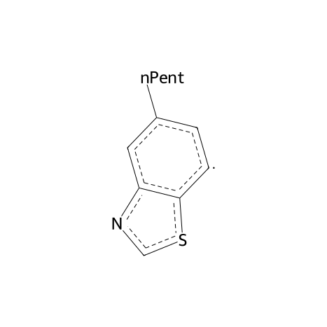 CCCCCc1c[c]c2scnc2c1